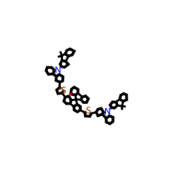 CC1(C)c2ccccc2-c2ccc(-n3c4ccccc4c4cc(-c5ccc(-c6ccc7c(c6)C6(c8ccccc8-c8ccccc86)c6cc(-c8ccc(-c9ccc%10c(c9)c9ccccc9n%10-c9ccc%10c(c9)C(C)(C)c9ccccc9-%10)s8)ccc6-7)s5)ccc43)cc21